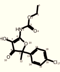 CCOC(=O)NC1=C(O)C(=O)C(C)(c2ccc(Cl)cc2)O1